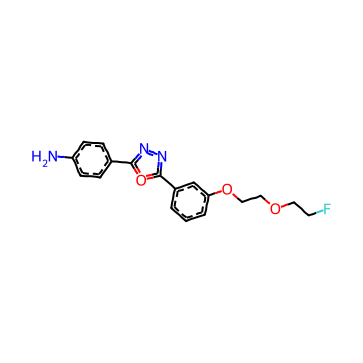 Nc1ccc(-c2nnc(-c3cccc(OCCOCCF)c3)o2)cc1